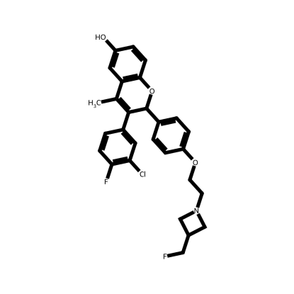 CC1=C(c2ccc(F)c(Cl)c2)C(c2ccc(OCCN3CC(CF)C3)cc2)Oc2ccc(O)cc21